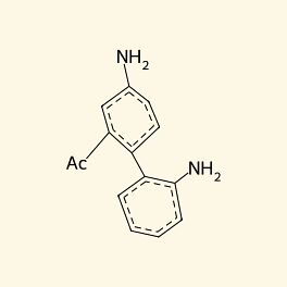 CC(=O)c1cc(N)ccc1-c1ccccc1N